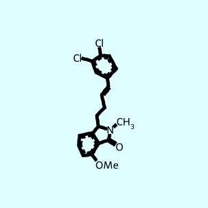 COc1cccc2c1C(=O)N(C)C2CCC=Cc1ccc(Cl)c(Cl)c1